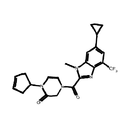 Cn1c(C(=O)N2CCN(C3CC=CC3)C(=O)C2)nc2c(C(F)(F)F)cc(C3CC3)cc21